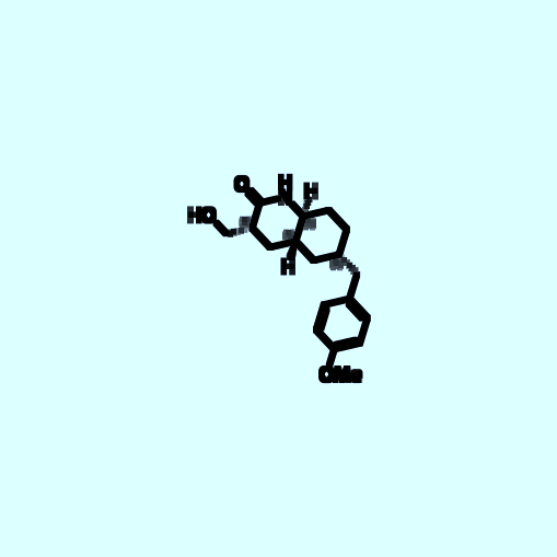 COc1ccc(C[C@H]2CC[C@@H]3NC(=O)[C@@H](CO)C[C@H]3C2)cc1